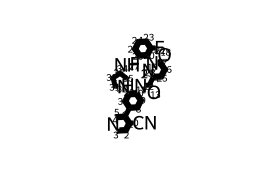 N#Cc1ccncc1-c1ccc(NC(=O)c2ccc(=O)n(-c3c(F)cccc3F)n2)c(N2CC[C@H](N)C2)c1